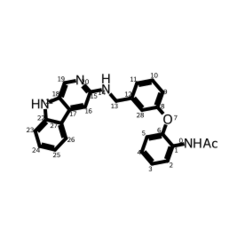 CC(=O)Nc1ccccc1Oc1cccc(CNc2cc3c(cn2)[nH]c2ccccc23)c1